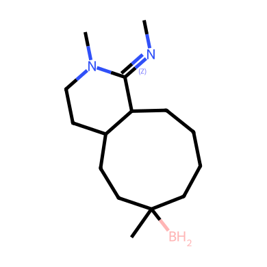 BC1(C)CCCCC2/C(=N/C)N(C)CCC2CC1